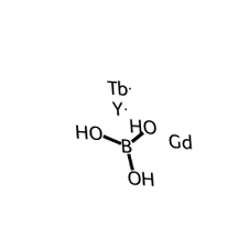 OB(O)O.[Gd].[Tb].[Y]